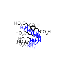 N=C(N)NCCCC(N)C(=O)O.NC(CC(=O)O)C(=O)O.NC(Cc1ccccc1)C(=O)O.NCC(=O)O.NCC(=O)O.NCC(=O)O